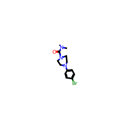 CN(C)C(=O)N1CCN(c2ccc(Br)cc2)CC1